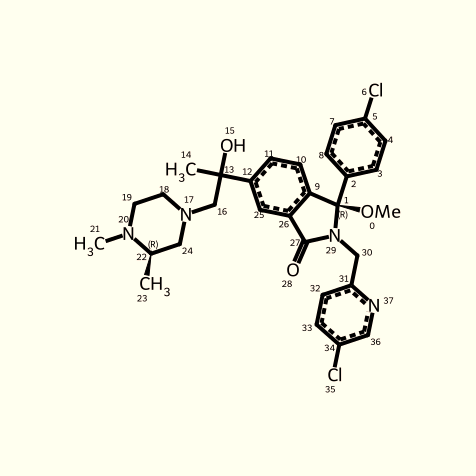 CO[C@]1(c2ccc(Cl)cc2)c2ccc(C(C)(O)CN3CCN(C)[C@H](C)C3)cc2C(=O)N1Cc1ccc(Cl)cn1